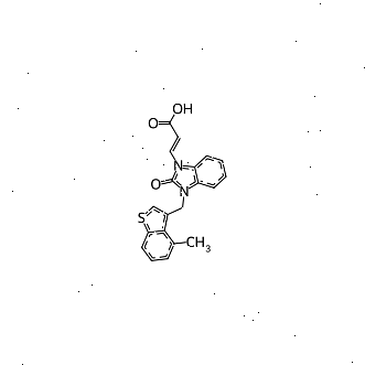 Cc1cccc2scc(Cn3c(=O)n(C=CC(=O)O)c4ccccc43)c12